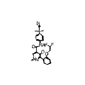 Cn1cc(C(=O)Nc2ccc(C(C)(C)C#N)cc2)c(=O)c(-c2ccccc2OCC(F)F)n1